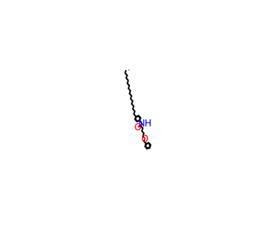 [CH2]CCCCCCCCCCCCCCCCCc1ccc(NC(=O)CCCCOCc2ccccc2)cc1